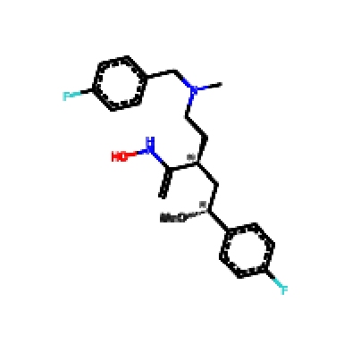 C=C(NO)[C@@H](CCN(C)Cc1ccc(F)cc1)C[C@@H](OC)c1ccc(F)cc1